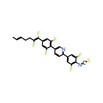 C/C=C/CC/C(F)=C(\F)c1cc(F)c(-c2ccc(-c3cc(F)c(N=C=S)c(F)c3)nc2)c(F)c1